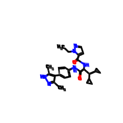 CCn1nccc1C(=O)NC(C(=O)Nc1ccc(-c2c(C)n[nH]c2C)cc1)C(C1CC1)C1CC1